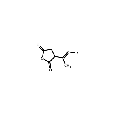 CCC=C(C)C1CC(=O)OC1=O